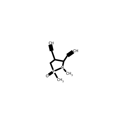 C#CC1CP(C)(=O)N(C)C1C#C